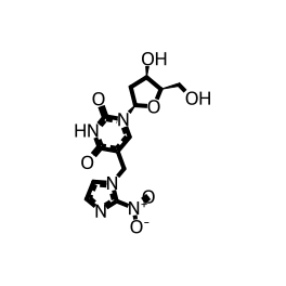 O=c1[nH]c(=O)n([C@H]2C[C@@H](O)[C@@H](CO)O2)cc1Cn1ccnc1[N+](=O)[O-]